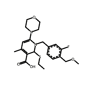 CCSC1C(C(=O)O)=C(C)C=C(N2CCOCC2)N1Cc1ccc(COC)c(F)c1